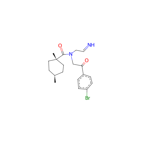 C[C@H]1CC[C@](C)(C(=O)N(CC=N)CC(=O)c2ccc(Br)cc2)CC1